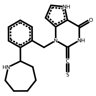 O=C1NC(=C=S)N(Cc2ccccc2C2CCCCCN2)c2cc[nH]c21